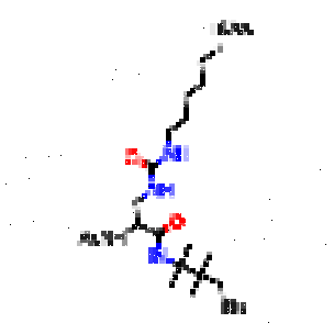 CCCCCCCCCCCCCCCCNC(=O)NCC(NC(C)=O)C(=O)NC(C)(C)C(C)(C)CC(C)CC